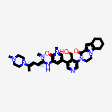 C=N/C(=C\C=C(/C)N1CCN(C)CC1)Nc1cc(-c2cncc(N3CCn4c(cc5c4CCCC5)C3=O)c2CO)cn(C)c1=O